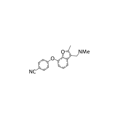 CNCc1c(C)oc2c(Oc3ccc(C#N)cc3)cccc12